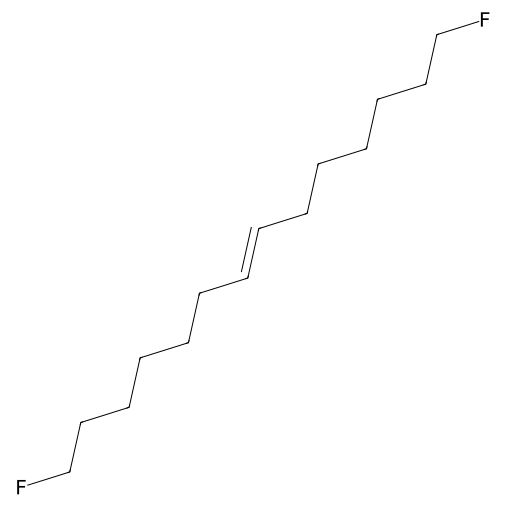 FCCCCCCC=CCCCCCCF